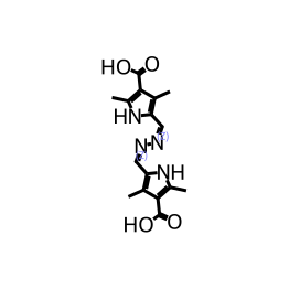 Cc1[nH]c(/C=N\N=C/c2[nH]c(C)c(C(=O)O)c2C)c(C)c1C(=O)O